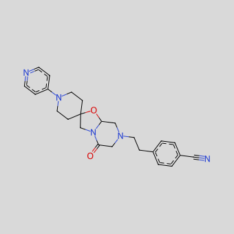 N#Cc1ccc(CCN2CC(=O)N3CC4(CCN(c5ccncc5)CC4)OC3C2)cc1